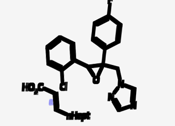 CCCCCCC/C=C/C(=O)O.Fc1ccc(C2(Cn3cncn3)OC2c2ccccc2Cl)cc1